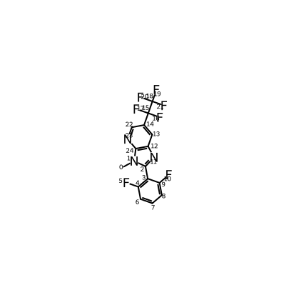 Cn1c(-c2c(F)cccc2F)nc2cc(C(F)(F)C(F)(F)F)cnc21